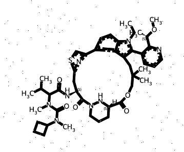 CCn1c(-c2cccnc2[C@H](C)OC)c2c3cc(ccc31)-c1csc(n1)C[C@H](NC(=O)C(C(C)C)N(C)C(=O)N(C)C1CCC1)C(=O)N1CCC[C@H](N1)C(=O)OCC(C)(C)C2